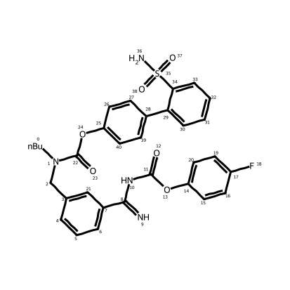 CCCCN(Cc1cccc(C(=N)NC(=O)Oc2ccc(F)cc2)c1)C(=O)Oc1ccc(-c2ccccc2S(N)(=O)=O)cc1